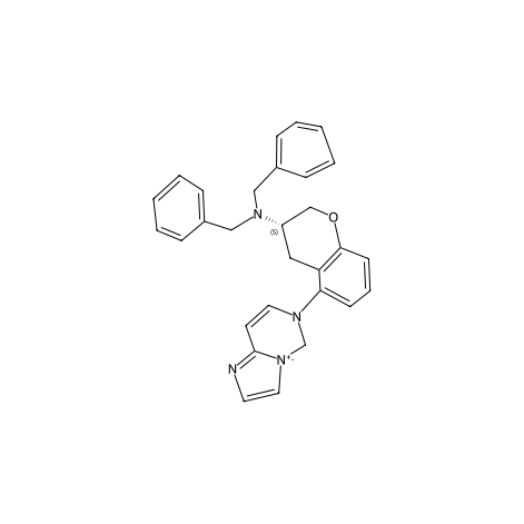 C1=C[N+]2CN(c3cccc4c3C[C@H](N(Cc3ccccc3)Cc3ccccc3)CO4)C=CC2=N1